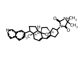 CC1(C)NC(=O)N(C2CCC3=CC4=CC[C@]5(C)C(c6ccc7ccncc7c6)CC[C@H]5[C@@]45CC[C@]3(C2)O5)C1=O